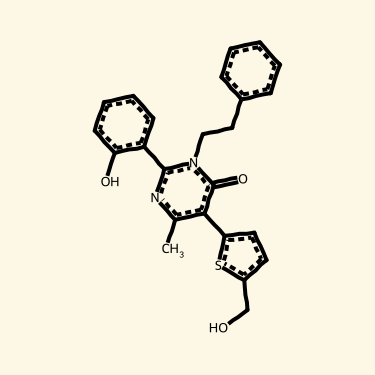 Cc1nc(-c2ccccc2O)n(CCc2ccccc2)c(=O)c1-c1ccc(CO)s1